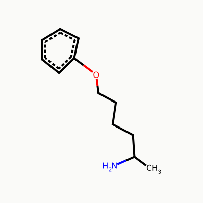 CC(N)CCCCOc1ccccc1